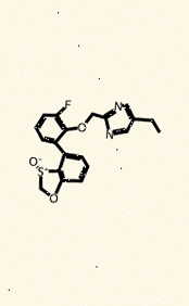 CCc1cnc(COc2c(F)cccc2-c2cccc3c2[S+]([O-])CO3)nc1